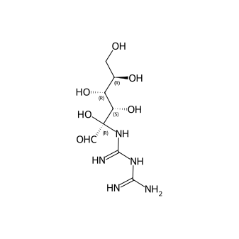 N=C(N)NC(=N)N[C@](O)(C=O)[C@@H](O)[C@H](O)[C@H](O)CO